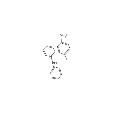 CCCN1C=CC=CC1.Cc1ccc(S(=O)(=O)O)cc1.c1ccncc1